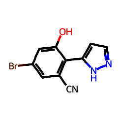 N#Cc1cc(Br)cc(O)c1-c1ccn[nH]1